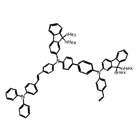 C=Cc1ccc(N(c2ccc(-c3ccc(N(c4ccc(/C=C/c5ccc(N(c6ccccc6)c6ccccc6)cc5)cc4)c4ccc5c(c4)C(CCCCCC)(CCCCCC)c4ccccc4-5)cc3)cc2)c2ccc3c(c2)C(CCCCCC)(CCCCCC)c2ccccc2-3)cc1